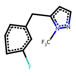 Fc1cccc(Cc2ccnn2C(F)(F)F)c1